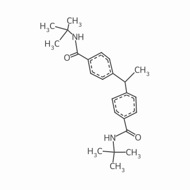 CC(c1ccc(C(=O)NC(C)(C)C)cc1)c1ccc(C(=O)NC(C)(C)C)cc1